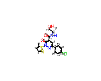 CC1=CC=C[SH]1n1nc(-c2ccc(Cl)cc2)cc(C(=O)N[C@@H](C)CO)c1=O